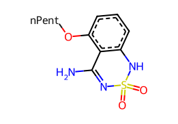 CCCCCOc1cccc2c1C(N)=NS(=O)(=O)N2